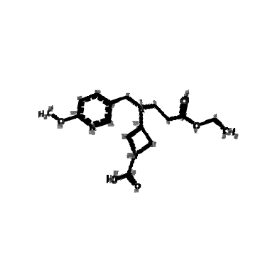 CCOC(=O)CCN(Cc1ccc(OC)nc1)C1CN(C(=O)O)C1